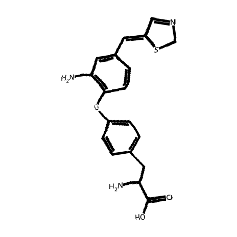 Nc1cc(C=C2C=NCS2)ccc1Oc1ccc(CC(N)C(=O)O)cc1